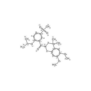 COc1cc2c(cc1OC)C(C)(C)CN(C(=O)c1cc(S(C)(=O)=O)ccc1OC(C)C)C2